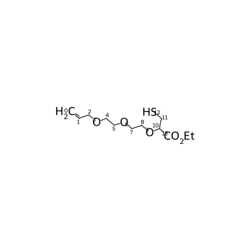 C=CCOCCOCCOC(CS)C(=O)OCC